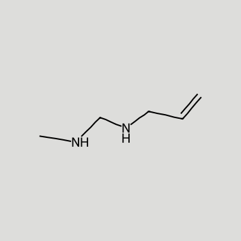 C=CCNCNC